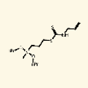 C=CCNC(=S)SCCC[Si](C)(OCCC)OCCC